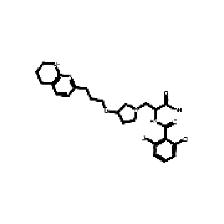 O=C(NC(CN1CCC(OCCCc2ccc3c(n2)NCCC3)C1)C(=O)O)c1c(Cl)cccc1Cl